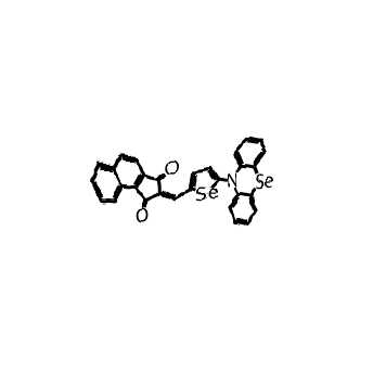 O=C1/C(=C\c2ccc(N3c4ccccc4[Se]c4ccccc43)[se]2)C(=O)c2c1ccc1ccccc21